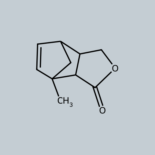 CC12C=CC(C1)C1COC(=O)C12